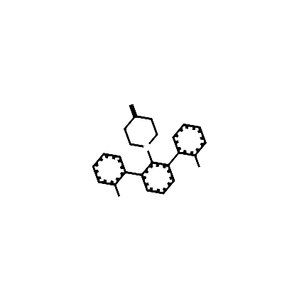 Cc1ccccc1-c1cccc(-c2ccccc2C)c1P1CCC(=O)CC1